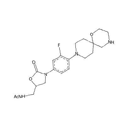 CC(=O)NCC1CN(c2ccc(N3CCC4(CC3)CNCCO4)c(F)c2)C(=O)O1